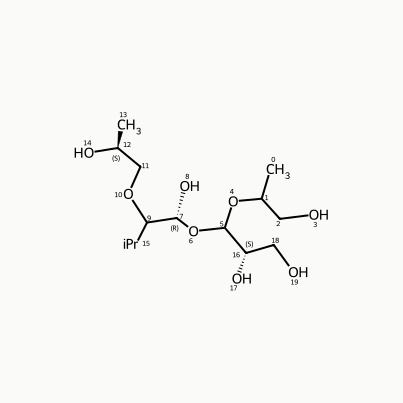 CC(CO)OC(O[C@@H](O)C(OC[C@H](C)O)C(C)C)[C@@H](O)CO